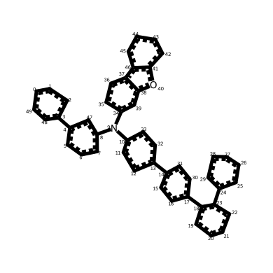 c1ccc(-c2cccc(N(c3ccc(-c4ccc(-c5ccccc5-c5ccccc5)cc4)cc3)c3ccc4c(c3)oc3ccccc34)c2)cc1